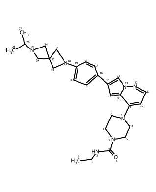 CCNC(=O)N1CCN(c2ccnn3cc(-c4ccc(N5CC6(C5)CN(C(C)C)C6)cc4)cc23)CC1